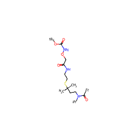 CCC(=O)N(CCC(C)(C)SCCNC(=O)CONC(=O)OC(C)(C)C)C(C)C